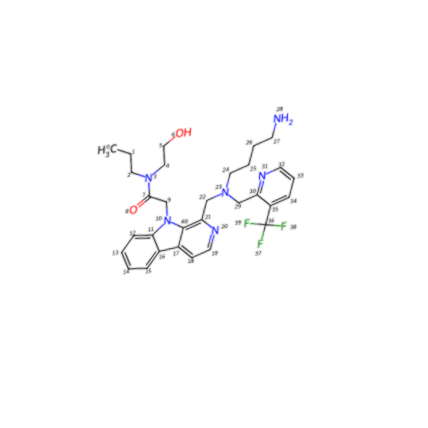 CCCN(CCO)C(=O)Cn1c2ccccc2c2ccnc(CN(CCCCN)Cc3ncccc3C(F)(F)F)c21